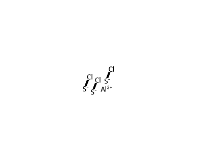 [Al+3].[S-]Cl.[S-]Cl.[S-]Cl